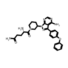 NC(=O)CC[C@H](N)C(=O)N1CCCC(n2nc(-c3ccc(Oc4ccccc4)cc3)c3c(N)ncnc32)C1